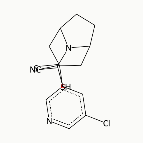 N#CC1(c2cncc(Cl)c2)CC2CCC(C1)N2C(=S)S